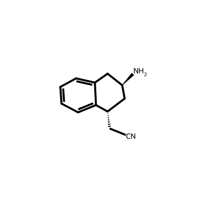 N#CC[C@H]1C[C@H](N)Cc2ccccc21